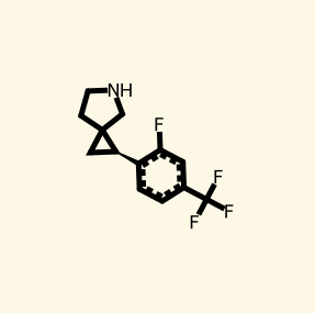 Fc1cc(C(F)(F)F)ccc1[C@H]1CC12CCNC2